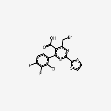 O=C(O)c1c(CBr)nc(-c2nccs2)nc1-c1ccc(F)c(F)c1Cl